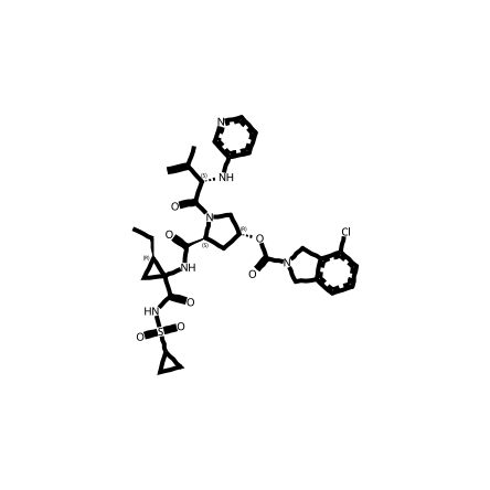 C=C(C)[C@H](Nc1cccnc1)C(=O)N1C[C@H](OC(=O)N2Cc3cccc(Cl)c3C2)C[C@H]1C(=O)NC1(C(=O)NS(=O)(=O)C2CC2)C[C@H]1CC